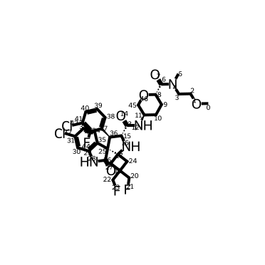 COCCN(C)C(=O)[C@@H]1CC[C@@H](NC(=O)[C@@H]2NC3(CC(CF)(CF)C3)[C@@]3(C(=O)Nc4cc(Cl)ccc43)[C@H]2c2cccc(Cl)c2F)CO1